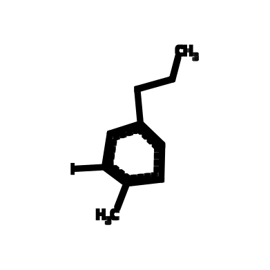 CCCc1ccc(C)c(I)c1